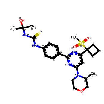 C[C@H]1COCCN1c1cc(C2(S(C)(=O)=O)CCC2)nc(-c2ccc(NC(=S)NC(C)(C)O)cc2)n1